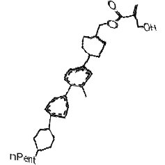 C=C(CO)C(=O)OCC1CCC(c2ccc(-c3ccc(C4CCC(CCCCC)CC4)cc3)c(C)c2)CC1